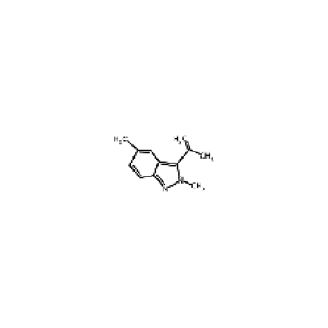 C=C(C)c1c2cc(C)ccc2nn1C